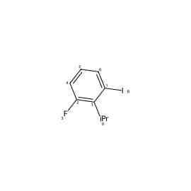 CC(C)c1c(F)cccc1I